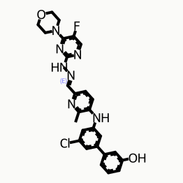 Cc1nc(/C=N/Nc2ncc(F)c(N3CCOCC3)n2)ccc1Nc1cc(Cl)cc(-c2cccc(O)c2)c1